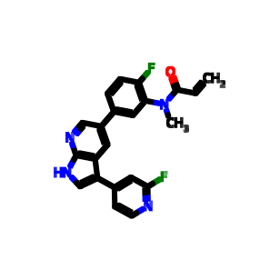 C=CC(=O)N(C)c1cc(-c2cnc3[nH]cc(-c4ccnc(F)c4)c3c2)ccc1F